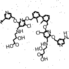 CNc1cncc(COc2nc(OCc3cccc(-c4cccc(COc5nc(OCc6cncc(C#N)c6)c(CNC[C@@H](O)CC(=O)O)cc5Cl)c4C)c3C)c(Cl)cc2CNC[C@@H](O)CC(=O)O)c1